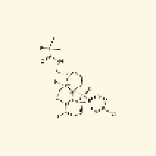 O=C(NC[C@@H]1CCC[C@@]2(S(=O)(=O)c3ccc(Cl)cc3)c3c(F)ccc(F)c3OC[C@@H]12)C(F)(F)F